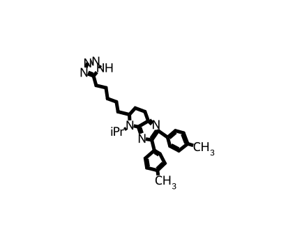 Cc1ccc(-c2nc3c(nc2-c2ccc(C)cc2)N(C(C)C)C(CCCCCc2nnn[nH]2)CC3)cc1